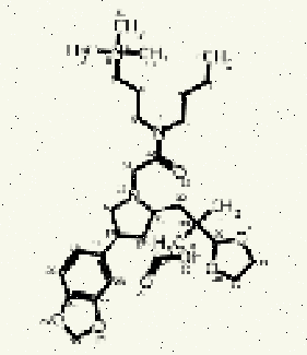 CCCCN(CCC[N+](C)(C)C)C(=O)CN1C[C@H](c2ccc3c(c2)OCO3)[C@@H](C(=O)O)[C@@H]1CC(C)(C)C1OCCO1